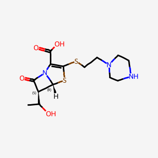 CC(O)[C@H]1C(=O)N2C(C(=O)O)=C(SCCN3CCNCC3)S[C@H]12